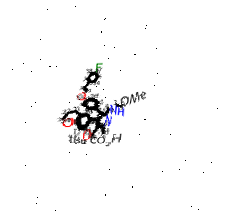 COCCNCc1nc(C)c([C@H](OC(C)(C)C)C(=O)O)c(-c2ccc3c(c2)CCCO3)c1-c1ccc(OCCc2ccc(F)cc2)cc1